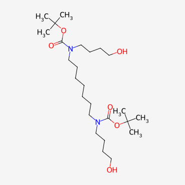 CC(C)(C)OC(=O)N(CCCCO)CCCCCCCN(CCCCO)C(=O)OC(C)(C)C